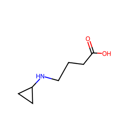 O=C(O)CCCNC1CC1